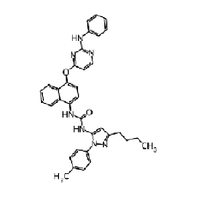 CCCCc1cc(NC(=O)Nc2ccc(Oc3ccnc(Nc4ccccc4)n3)c3ccccc23)n(-c2ccc(C)cc2)n1